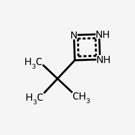 CC(C)(C)c1n[nH][nH]1